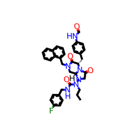 CCCN(C(=O)NCc1ccc(F)cc1)N1CC(=O)N2[C@@H](Cc3ccc(NC=O)cc3)C(=O)N(Cc3cccc4ccccc34)C[C@@H]21